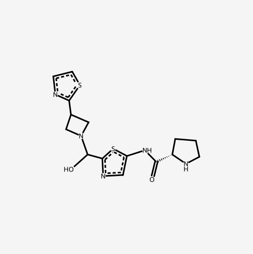 O=C(Nc1cnc(C(O)N2CC(c3nccs3)C2)s1)[C@@H]1CCCN1